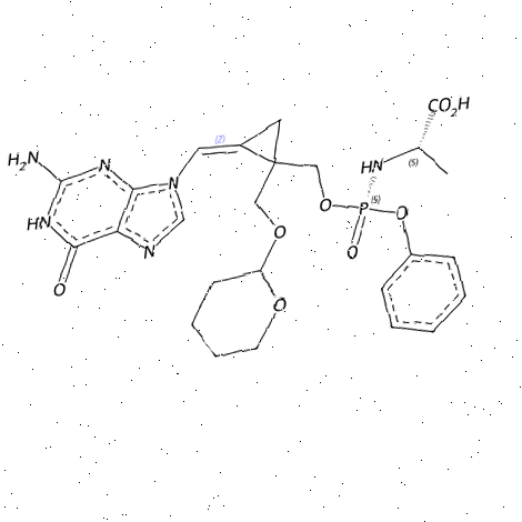 C[C@H](N[P@](=O)(OCC1(COC2CCCCO2)C/C1=C/n1cnc2c(=O)[nH]c(N)nc21)Oc1ccccc1)C(=O)O